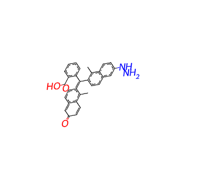 Cc1c2c(cc/c1=C(\c1ccccc1C(=O)O)c1ccc3cc(NN)ccc3c1C)=CC(=O)C=C2